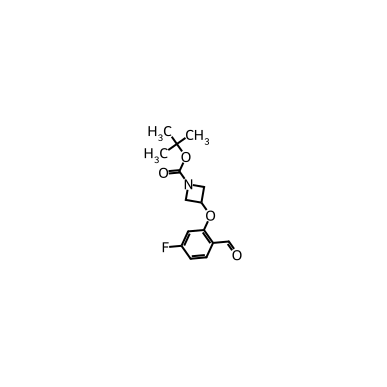 CC(C)(C)OC(=O)N1CC(Oc2cc(F)ccc2C=O)C1